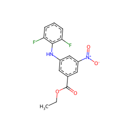 CCOC(=O)c1cc(Nc2c(F)cccc2F)cc([N+](=O)[O-])c1